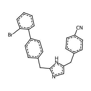 N#Cc1ccc(Cc2cnc(Cc3ccc(-c4ccccc4Br)cc3)[nH]2)cc1